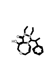 CCN1C(=O)/C2=C(\O)COC/C=C\N2C(C(C)c2ccccc2)N1CC